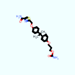 CC(C)(c1ccc(OCCCOC(N)=O)cc1)c1ccc(OCc2nc(C(N)=O)cs2)cc1